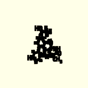 Cn1c(=O)[nH]c(=O)c2c1nc(N1CCNCC1)n2-c1ccccc1Cl.O=C(O)C(F)(F)F